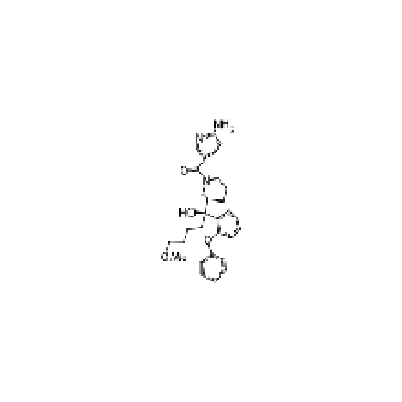 COCCCC[C@@](O)(c1ccccc1Oc1ccccc1)[C@@H]1CCCN(C(=O)c2ccc(N)nc2)C1